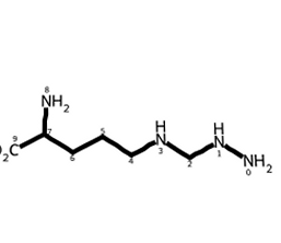 NNCNCCCC(N)C(=O)O